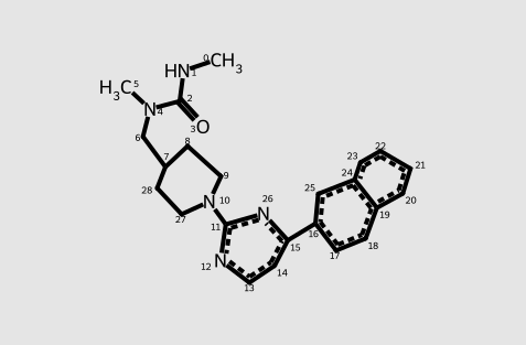 CNC(=O)N(C)CC1CCN(c2nccc(-c3ccc4ccccc4c3)n2)CC1